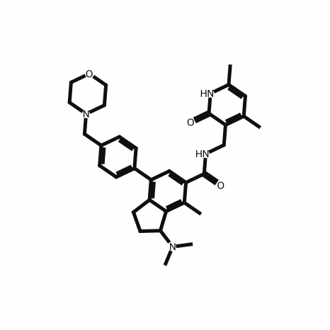 Cc1cc(C)c(CNC(=O)c2cc(-c3ccc(CN4CCOCC4)cc3)c3c(c2C)C(N(C)C)CC3)c(=O)[nH]1